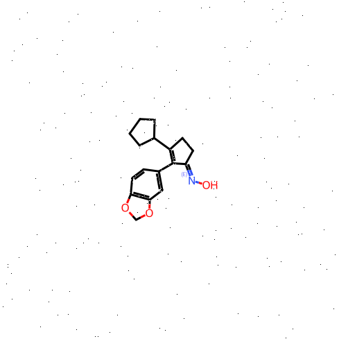 O/N=C1\CCC(C2CCCC2)=C1c1ccc2c(c1)OCO2